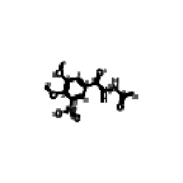 COc1cc(C(=O)NNC(C)=O)cc([N+](=O)[O-])c1OC